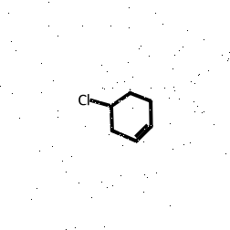 ClC1[CH]CC=CC1